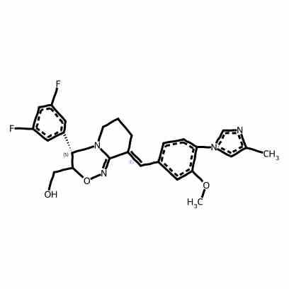 COc1cc(/C=C2\CCCN3C2=NOC(CO)[C@@H]3c2cc(F)cc(F)c2)ccc1-n1cnc(C)c1